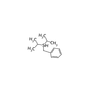 CC(C)[SiH](Cc1ccccc1)C(C)C